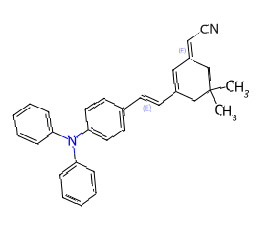 CC1(C)CC(/C=C/c2ccc(N(c3ccccc3)c3ccccc3)cc2)=CC(=C/C#N)/C1